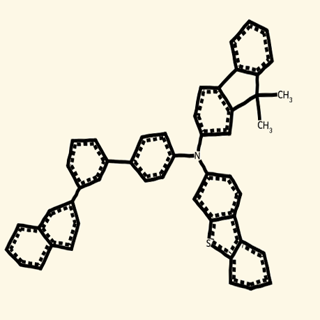 CC1(C)c2ccccc2-c2ccc(N(c3ccc(-c4cccc(-c5ccc6ccccc6c5)c4)cc3)c3ccc4c(c3)sc3ccccc34)cc21